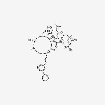 CCC(=O)O[C@@H]1CC(=O)O[C@@H](C/C=C/c2cncc(-c3ccccc3)c2)CCCN(C)C[C@H](O)[C@H](C)C[C@H](CC=O)[C@H](O[C@@H]2OC(C)[C@@H](O[C@H]3CC(C)(OC(C)=O)[C@@H](OC(=O)CC)C(C)O3)C(N(C)C)C2O)[C@H]1OC